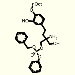 CCCCCCCCOc1ccc(CCC(N)(CO)COP(=O)(OCc2ccccc2)Oc2ccccc2)cc1C#N